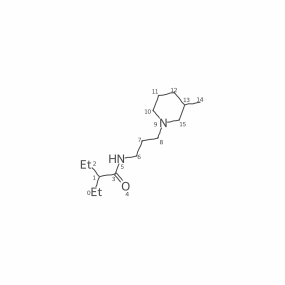 CCC(CC)C(=O)NCCCN1CCCC(C)C1